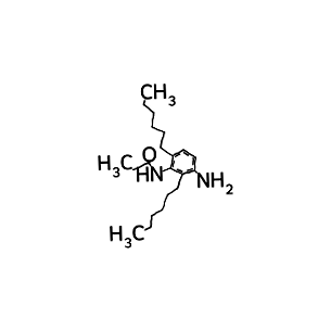 CCCCCCc1ccc(N)c(CCCCCC)c1NC(=O)CC